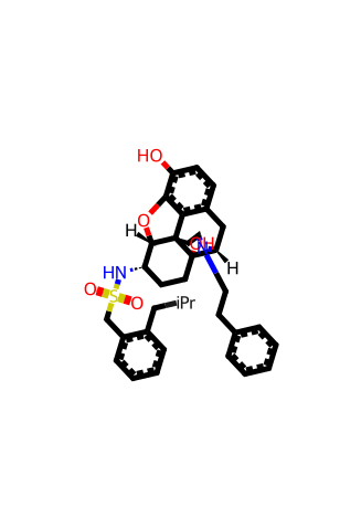 CC(C)Cc1ccccc1CS(=O)(=O)N[C@H]1CC[C@@]2(O)[C@H]3Cc4ccc(O)c5c4[C@@]2(CCN3CCc2ccccc2)[C@H]1O5